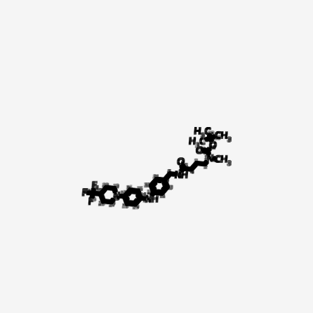 CN(CCCC(=O)NCc1ccc(Nc2ccc(N3CCC(C(F)(F)F)CC3)cc2)cc1)C(=O)OC(C)(C)C